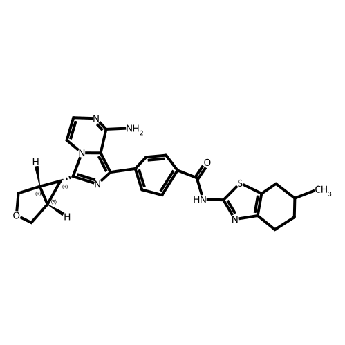 CC1CCc2nc(NC(=O)c3ccc(-c4nc([C@@H]5[C@@H]6COC[C@@H]65)n5ccnc(N)c45)cc3)sc2C1